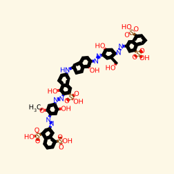 COc1cc(N=Nc2c(S(=O)(=O)O)cc3cc(Nc4ccc5c(O)c(N=Nc6cc(CO)c(N=Nc7cc(S(=O)(=O)O)c8cccc(S(=O)(=O)O)c8c7)cc6O)ccc5c4)ccc3c2O)c(O)cc1N=Nc1cc(S(=O)(=O)O)c2cccc(S(=O)(=O)O)c2c1